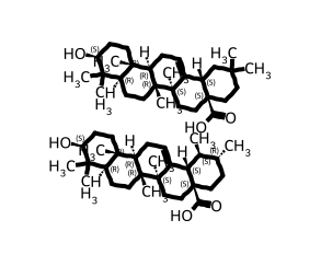 CC1(C)CC[C@]2(C(=O)O)CC[C@]3(C)C(=CC[C@@H]4[C@@]5(C)CC[C@H](O)C(C)(C)[C@@H]5CC[C@]43C)[C@@H]2C1.C[C@H]1[C@H](C)CC[C@]2(C(=O)O)CC[C@]3(C)C(=CC[C@@H]4[C@@]5(C)CC[C@H](O)C(C)(C)[C@@H]5CC[C@]43C)[C@H]12